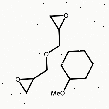 C(OCC1CO1)C1CO1.COC1CCCCC1